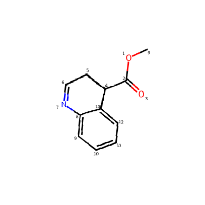 COC(=O)C1CC=Nc2ccccc21